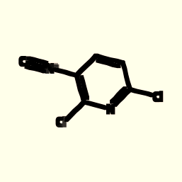 [C-]#[N+]c1ccc(Cl)nc1Cl